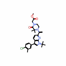 C=C(c1ccc2c(-c3ccc(Cl)c(C)c3)cn(C(C)(C)C)c2n1)N1CCN(CC(=O)OC)C(=O)C1(C)C